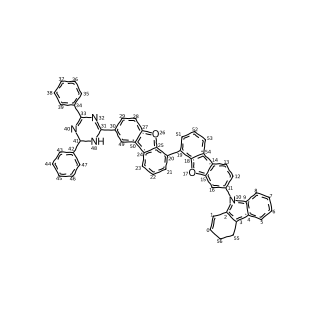 C1=Cc2c(c3ccccc3n2-c2ccc3c(c2)oc2c(-c4cccc5c4oc4ccc(C6=NC(c7ccccc7)=NC(c7ccccc7)N6)cc45)cccc23)CC1